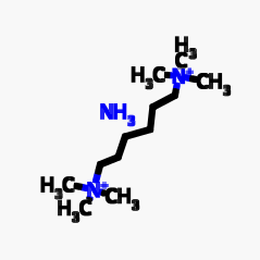 C[N+](C)(C)CCCCCC[N+](C)(C)C.N